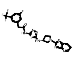 O=C(Cc1cc(F)cc(C(F)(F)F)c1)Nc1nnc(N[C@@H]2CCN(c3nc4ncccc4s3)C2)s1